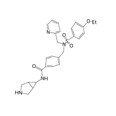 CCOc1ccc(S(=O)(=O)N(Cc2ccc(C(=O)NC3C4CNCC43)cc2)Cc2ccccn2)cc1